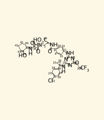 O=C(NC[C@H](NC(=O)c1ccc(Nc2nc(NC3(c4ccc(Cl)cc4)CC3)nc(OCC(F)(F)F)n2)cc1)C(=O)O)C(=O)NC1CCCCC1O